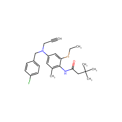 C#CCN(Cc1ccc(F)cc1)c1cc(C)c(NC(=O)CC(C)(C)C)c(SCC)c1